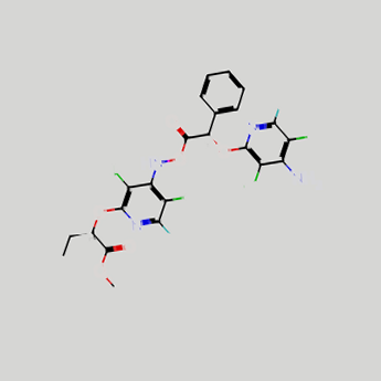 CC[C@@H](Oc1nc(F)c(Cl)c(NOC(=O)[C@H](Oc2nc(F)c(Cl)c(N)c2Cl)c2ccccc2)c1Cl)C(=O)OC